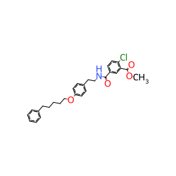 COC(=O)c1cc(C(=O)NCCc2ccc(OCCCCCc3ccccc3)cc2)ccc1Cl